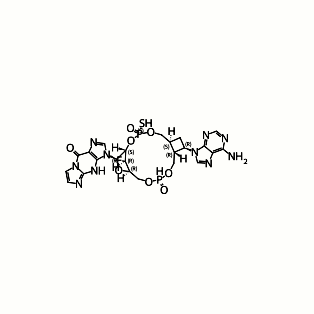 Nc1ncnc2c1ncn2[C@@H]1C[C@@H]2CO[P@](=O)(S)O[C@@H]3[C@H](F)[C@@H](CO[PH](=O)OC[C@H]21)O[C@H]3n1cnc2c(=O)n3ccnc3[nH]c21